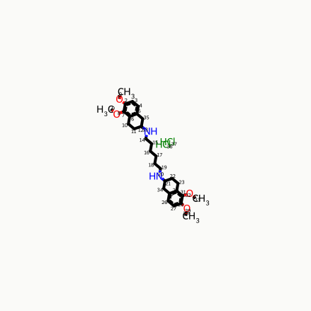 COc1ccc2c(c1OC)CCC(NCCCCCCNC1CCc3c(ccc(OC)c3OC)C1)C2.Cl.Cl